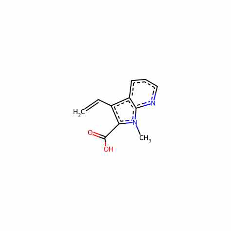 C=Cc1c(C(=O)O)n(C)c2ncccc12